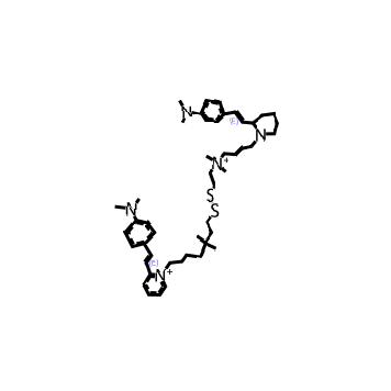 CN(C)c1ccc(/C=C/c2cccc[n+]2CCCCC(C)(C)CCSSCC[N+](C)(C)CCCCN2CCCCC2/C=C/c2ccc(N(C)C)cc2)cc1